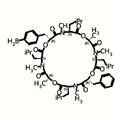 Bc1ccc(C[C@H]2OC(=O)[C@H](CC(C)C)N(C)C(=O)[C@@H](C)OC(=O)[C@H](CC(C)C)N(C)C(=O)[C@@H](Cc3ccccc3)OC(=O)[C@H](CC(C)C)N(C)C(=O)[C@@H](C)OC(=O)[C@H](CC(C)C)N(C)C2=O)cc1